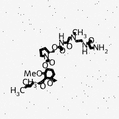 COC1C(OC(=O)N2CCC[C@H]2COC(=O)NC(=O)CN(C)CCNC(=O)CN)CCC2(CO2)C1C1O[C@@H]1CC=C(C)C